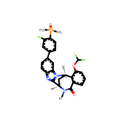 CCN1C(=O)c2cccc(OC(F)F)c2[C@H]2C[C@@H]1c1nc3ccc(-c4ccc(P(C)(C)=O)c(F)c4)cc3n12